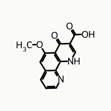 COc1cc2cccnc2c2[nH]cc(C(=O)O)c(=O)c12